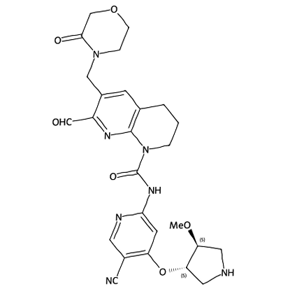 CO[C@H]1CNC[C@@H]1Oc1cc(NC(=O)N2CCCc3cc(CN4CCOCC4=O)c(C=O)nc32)ncc1C#N